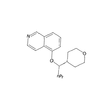 CCCC(Oc1cccc2cnccc12)C1CCOCC1